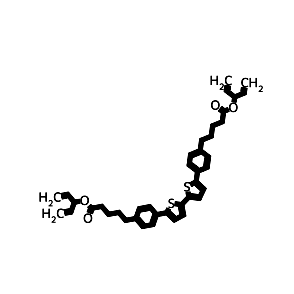 C=CC(C=C)OC(=O)CCCCc1ccc(-c2ccc(-c3ccc(-c4ccc(CCCCC(=O)OC(C=C)C=C)cc4)s3)s2)cc1